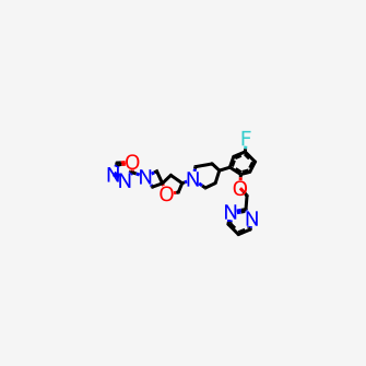 Fc1ccc(OCc2ncccn2)c(C2CCN(C3COC4(C3)CN(c3nnco3)C4)CC2)c1